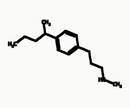 CCCC(C)c1ccc(CCCNC)cc1